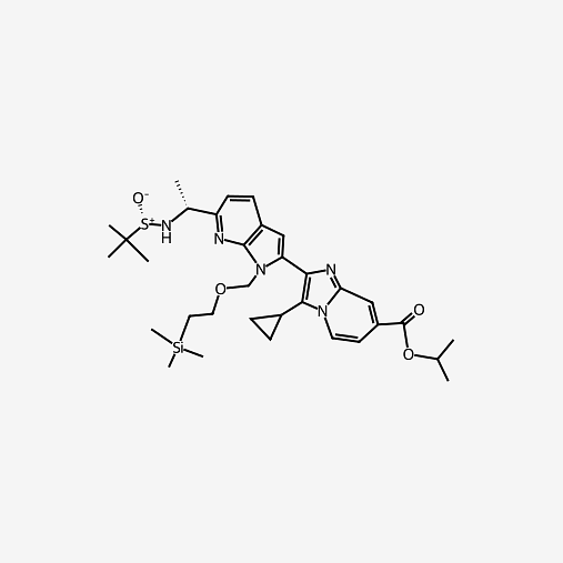 CC(C)OC(=O)c1ccn2c(C3CC3)c(-c3cc4ccc([C@@H](C)N[S@@+]([O-])C(C)(C)C)nc4n3COCC[Si](C)(C)C)nc2c1